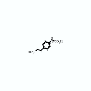 CCOC(=O)Nc1ccc(CCC(=O)O)cc1